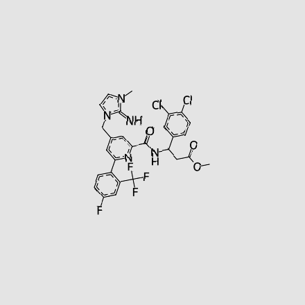 COC(=O)CC(NC(=O)c1cc(Cn2ccn(C)c2=N)cc(-c2ccc(F)cc2C(F)(F)F)n1)c1ccc(Cl)c(Cl)c1